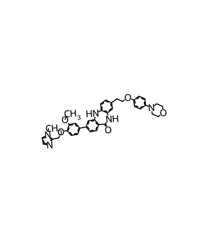 COc1cc(-c2ccc3c(c2)Nc2ccc(CCOc4ccc(N5CCOCC5)cc4)cc2NC3=O)ccc1OCc1nccn1C